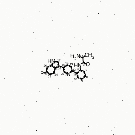 CC(N)C(=O)Nc1ccccc1-c1ccc(-c2c[nH]c3cc(F)ccc23)cn1